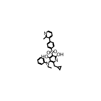 CCN(c1ccccc1)c1c(CC2CC2)nc(O)c(S(=O)(=O)c2ccc(-c3cccnc3C)cc2)c1O